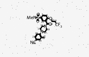 CNS(=O)(=O)c1ccc(OCCC(F)(F)F)c(C(=O)N2CCN(c3ccc(C#N)cc3F)CC2)c1